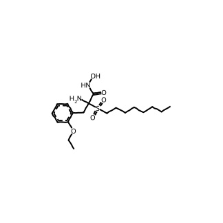 CCCCCCCCS(=O)(=O)C(N)(Cc1ccccc1OCC)C(=O)NO